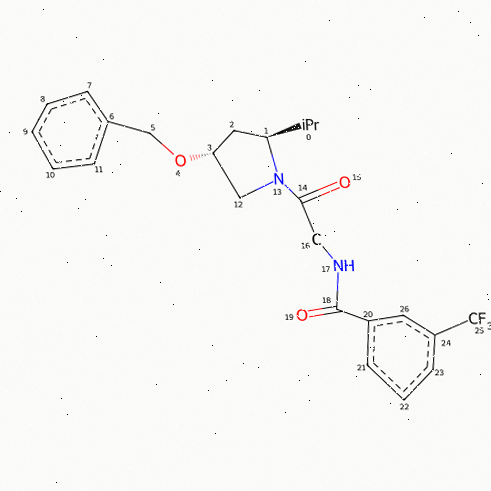 CC(C)[C@@H]1C[C@@H](OCc2ccccc2)CN1C(=O)CNC(=O)c1cccc(C(F)(F)F)c1